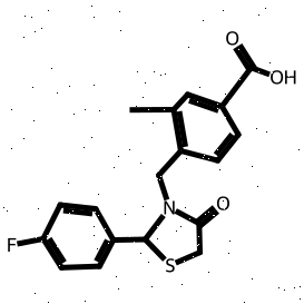 Cc1cc(C(=O)O)ccc1CN1C(=O)CSC1c1ccc(F)cc1